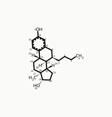 CCCC[C@@H]1Cc2cc(O)ccc2[C@H]2CC[C@]3(C)[C@@H](O)CC[C@H]3[C@H]12